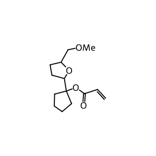 C=CC(=O)OC1(C2CCC(COC)O2)CCCC1